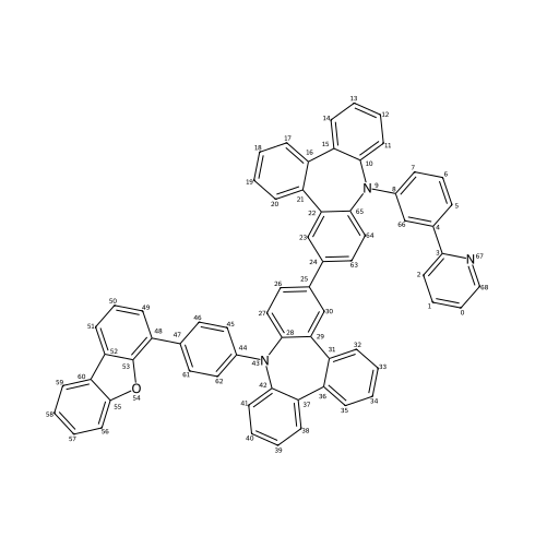 c1ccc(-c2cccc(N3c4ccccc4-c4ccccc4-c4cc(-c5ccc6c(c5)-c5ccccc5-c5ccccc5N6c5ccc(-c6cccc7c6oc6ccccc67)cc5)ccc43)c2)nc1